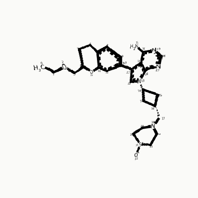 CCOCC1CCc2ccc(-c3cn([C@H]4C[C@@H](CN5CC[S+]([O-])CC5)C4)c4ncnc(N)c34)cc2O1